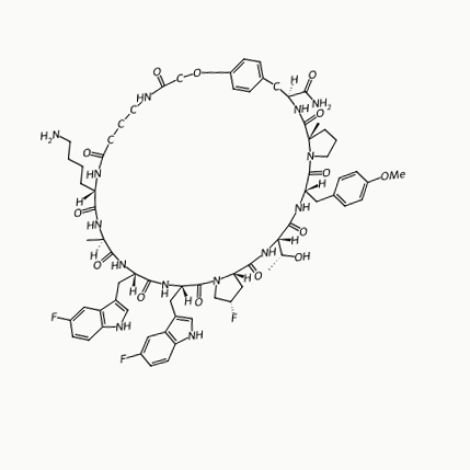 COc1ccc(C[C@@H]2NC(=O)[C@H]([C@@H](C)O)NC(=O)[C@@H]3C[C@H](F)CN3C(=O)[C@H](Cc3c[nH]c4ccc(F)cc34)NC(=O)[C@H](Cc3c[nH]c4ccc(F)cc34)NC(=O)[C@@H](C)NC(=O)[C@H](CCCCN)NC(=O)CCCNC(=O)COc3ccc(cc3)C[C@@H](C(N)=O)NC(=O)[C@]3(C)CCCN3C2=O)cc1